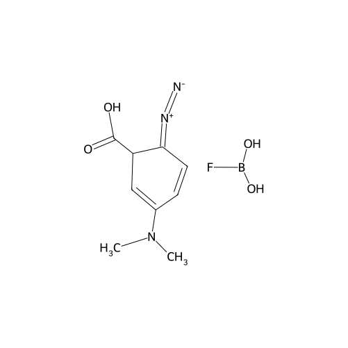 CN(C)C1=CC(C(=O)O)C(=[N+]=[N-])C=C1.OB(O)F